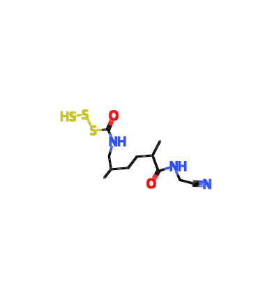 CC(CCC(C)C(=O)NCC#N)CNC(=O)SSS